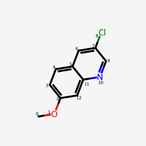 COc1ccc2cc(Cl)cnc2c1